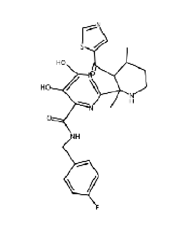 CC1CCNC(C)(c2nc(O)c(O)c(C(=O)NCc3ccc(F)cc3)n2)C1C(=O)c1cncs1